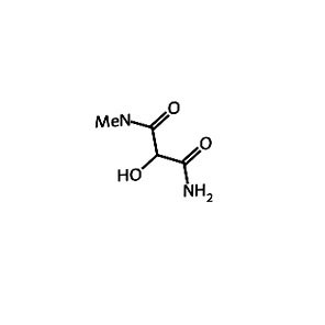 CNC(=O)C(O)C(N)=O